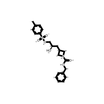 Cc1ccc(S(=O)(=O)OC[C@H](O)CC2CN(C(=O)OCc3ccccc3)C2)cc1